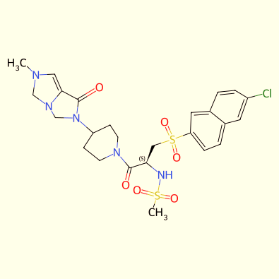 CN1C=C2C(=O)N(C3CCN(C(=O)[C@@H](CS(=O)(=O)c4ccc5cc(Cl)ccc5c4)NS(C)(=O)=O)CC3)CN2C1